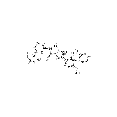 COc1ccc(-c2nc(C(=O)Nc3cccc(C(O)(O)C(F)(F)F)c3)c(C)[nH]2)c(C)c1-c1ccccc1C